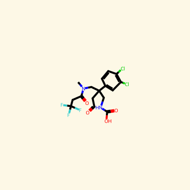 CN(CC(CC=O)(CNC(=O)O)c1ccc(Cl)c(Cl)c1)C(=O)CC(F)(F)F